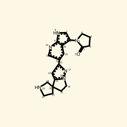 O=C1CCCN1c1c[nH]c2ncc(-c3cc4n(n3)CCC43CCNC3)cc12